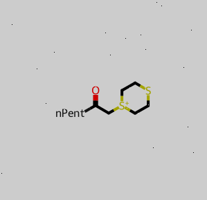 CCCCCC(=O)C[S+]1CCSCC1